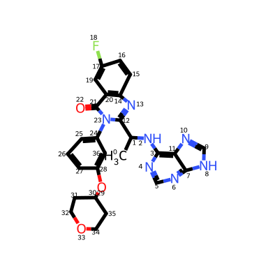 CC(Nc1ncnc2[nH]cnc12)c1nc2ccc(F)cc2c(=O)n1-c1cccc(OC2CCOCC2)c1